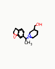 CC(c1ccc2c(c1)OCC2)N1CCCC(CO)C1